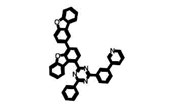 c1ccc(-c2nc(-c3cccc(-c4cccnc4)c3)nc(-c3ccc(-c4ccc5oc6ccccc6c5c4)c4oc5ccccc5c34)n2)cc1